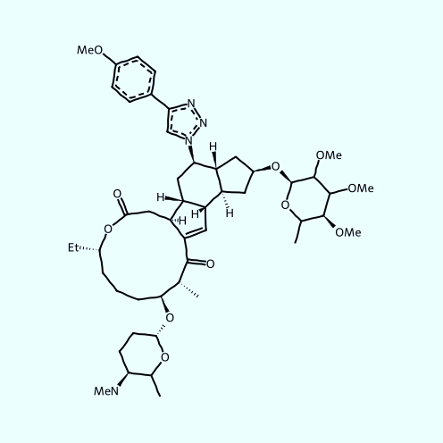 CC[C@H]1CCC[C@H](O[C@H]2CC[C@H](NC)C(C)O2)[C@@H](C)C(=O)C2=C[C@@H]3[C@@H](C[C@@H](n4cc(-c5ccc(OC)cc5)nn4)[C@@H]4C[C@@H](O[C@@H]5OC(C)[C@H](OC)C(OC)C5OC)C[C@@H]34)[C@@H]2CC(=O)O1